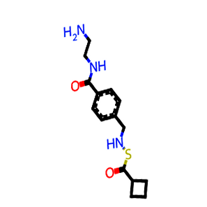 NCCNC(=O)c1ccc(CNSC(=O)C2CCC2)cc1